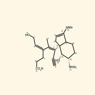 C#C/C(=C(C)\C(=C/CO)CCC(=O)O)[C@]12CC=C(NC)C1CC[C@H](NC(C)=O)[C@@H]2O